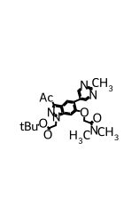 CC(=O)c1nn(CC(=O)OC(C)(C)C)c2cc(OCC(=O)N(C)C)c(-c3cnc(C)nc3)cc12